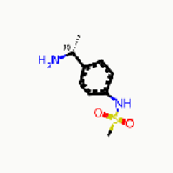 C[C@@H](N)c1ccc(NS(C)(=O)=O)cc1